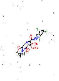 C[C@@H]1OC2Cn3cc(C(=O)NCc4c(F)cc(F)cc4F)c(=O)c(O)c3C(=O)N2[C@H]2C[C@@]12C